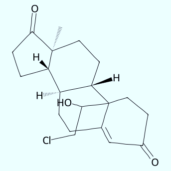 C[C@]12CC[C@H]3[C@@H](CCC4=CC(=O)CCC43C(O)CCl)[C@@H]1CCC2=O